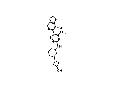 Cc1cc(NC2CCCN(C3CC(O)C3)C2)nnc1-c1ccc2sccc2c1O